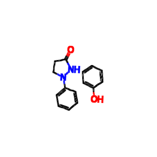 O=C1CCN(c2ccccc2)N1.Oc1ccccc1